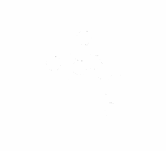 C=CC(=O)N1CCN(c2nc(C)c(-c3ccccc3C)c3nc(-c4ccccc4F)c(Cl)cc23)[C@@H](C)C1